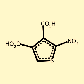 O=C(O)c1csc([N+](=O)[O-])c1C(=O)O